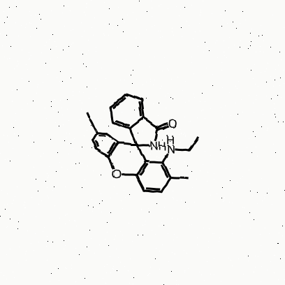 CCNc1c(C)ccc2c1C1(NC(=O)c3ccccc31)c1cc(C)ccc1O2